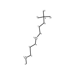 COCCCOCCCC(C)(C)C